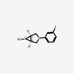 N#C[C@H]1[C@H]2CN(c3cccc(F)c3)C[C@@H]12